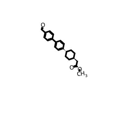 COC(=O)C[C@H]1CC[C@H](c2ccc(-c3ccc(C=O)cc3)cc2)CC1